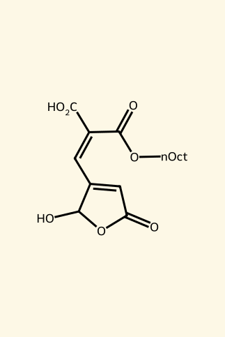 CCCCCCCCOC(=O)C(=CC1=CC(=O)OC1O)C(=O)O